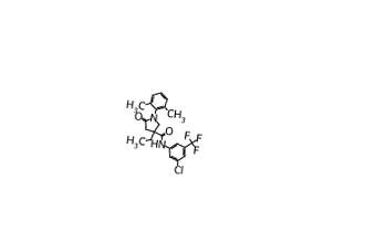 CCC1(C(=O)Nc2cc(Cl)cc(C(F)(F)F)c2)CC(=O)N(c2c(C)cccc2C)C1